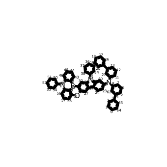 c1ccc(-c2cccc(N(c3cccc(-c4ccccc4)c3)c3ccc4c5cc6c(cc5n(-c5ccccc5)c4c3)B3c4ccccc4N(c4ccccc4)c4cccc(c43)O6)c2)cc1